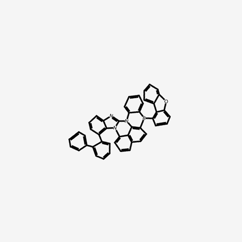 c1ccc(-c2ccccc2-c2cccc3nc4n5c6c(ccc7cccc(c76)n4c23)B(c2cccc3oc4ccccc4c23)c2ccccc2-5)cc1